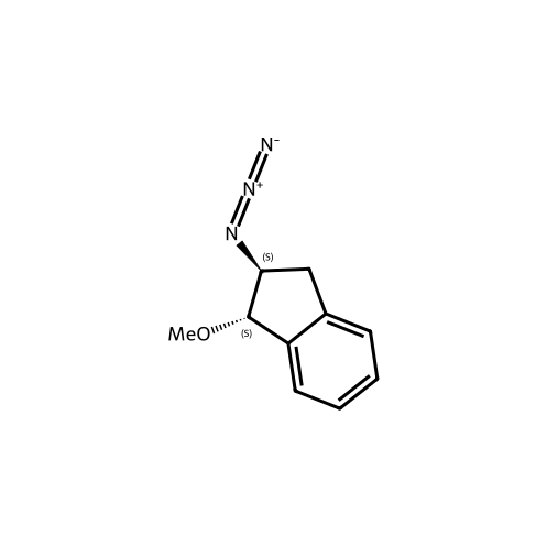 CO[C@H]1c2ccccc2C[C@@H]1N=[N+]=[N-]